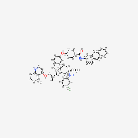 C[C@@H](COc1ccnc2c1[C@H](C)CCC2)C[C@H]1Cc2ccc(OC3CCC(C(=O)N[C@H](Cc4ccc5ccccc5c4)C(=O)O)CC3)cc2C12CCC(Nc1cccc(Cl)c1)(C(=O)O)CC2